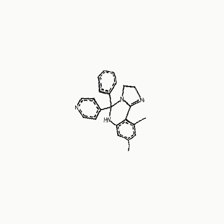 Cc1cc(C)c2c(c1)NC(c1ccccc1)(c1ccncc1)N1CCN=C21